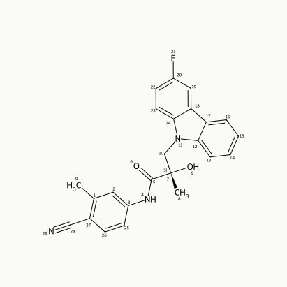 Cc1cc(NC(=O)[C@@](C)(O)Cn2c3ccccc3c3cc(F)ccc32)ccc1C#N